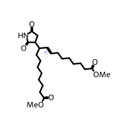 COC(=O)CCCCCC/C=C/C(CCCCCCCC(=O)OC)C1CC(=O)NC1=O